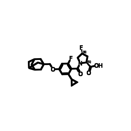 O=C(O)[C@@H]1C[C@@H](F)CN1C(=O)c1c(F)cc(OCC23CC4CC(C2)C(C4)C3)cc1C1CC1